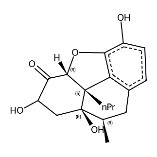 CCC[C@]12c3c4ccc(O)c3O[C@H]1C(=O)C(O)C[C@@]2(O)[C@H](C)C4